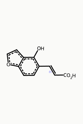 O=C(O)/C=C/c1ccc2occc2c1O